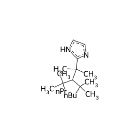 CCCCC(C)(C)C(C(C)(C)CCC)C(C)(C)c1ncc[nH]1